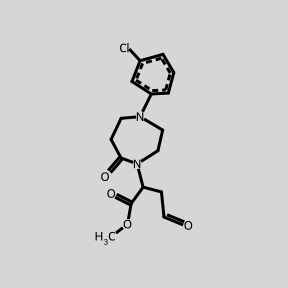 COC(=O)C(CC=O)N1CCN(c2cccc(Cl)c2)CCC1=O